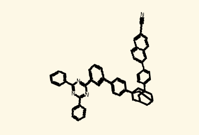 N#Cc1ccc2cc(-c3ccc(C45CC6CC(CC(c7ccc(-c8cccc(-c9nc(-c%10ccccc%10)nc(-c%10ccccc%10)n9)c8)cc7)(C6)C4)C5)cc3)ccc2c1